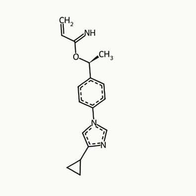 C=CC(=N)O[C@@H](C)c1ccc(-n2cnc(C3CC3)c2)cc1